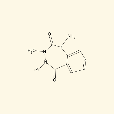 CC(C)N1C(=O)c2ccccc2C(N)C(=O)N1C